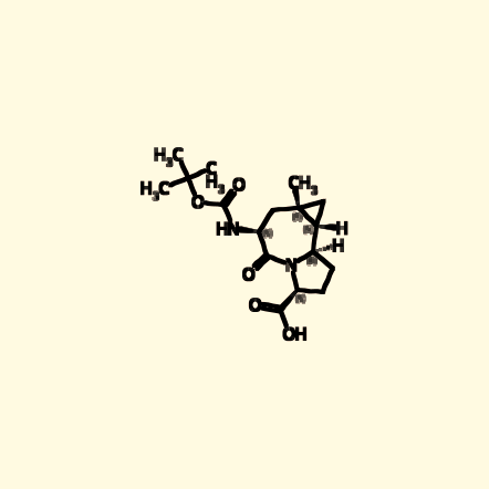 CC(C)(C)OC(=O)N[C@H]1C[C@]2(C)C[C@@H]2[C@H]2CC[C@@H](C(=O)O)N2C1=O